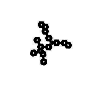 c1ccc(-c2ccc3c4c(-c5cccc(N(c6ccc(-c7ccc8ccccc8c7)cc6)c6ccc(-c7ccc8c(ccc9ccccc98)c7)cc6)c5)cc(-c5ccccc5)cc4n(-c4ccccc4)c3c2)cc1